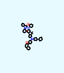 CC1(C)c2cc(N(c3ccc(-c4ccccc4)cc3)c3ccc4c(c3)oc3ccc5ccccc5c34)ccc2-c2ccc(N3c4ccccc4Oc4c3n(-c3ccccc3)c3ccccc43)cc21